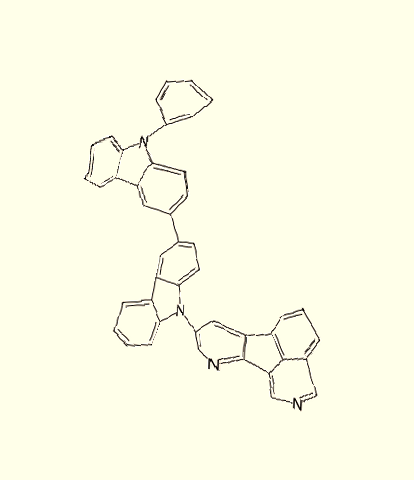 c1ccc(-n2c3ccccc3c3cc(-c4ccc5c(c4)c4ccccc4n5-c4cnc5c(c4)-c4cccc6cncc-5c46)ccc32)cc1